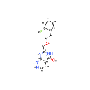 O=c1[nH]c(COCCc2ccccc2F)nc2nnccc12